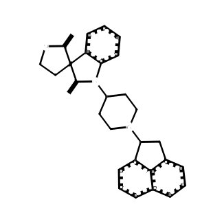 O=C1NCCC12C(=O)N(C1CCN(C3Cc4cccc5cccc3c45)CC1)c1ccccc12